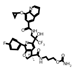 C[C@]1(C(=O)NCCCOC(N)=O)COc2c1cc([C@@](O)(CNC(=O)c1cc(OC3CC3)c3ncccc3c1)C(F)(F)F)nc2-c1ccc(F)cc1